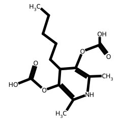 CCCCCC1C(OC(=O)O)=C(C)NC(C)=C1OC(=O)O